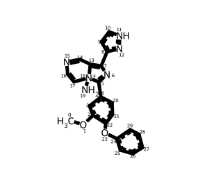 COc1cc(C2=NC(c3cc[nH]n3)=C3C=NC=C[N+]23N)ccc1Oc1ccccc1